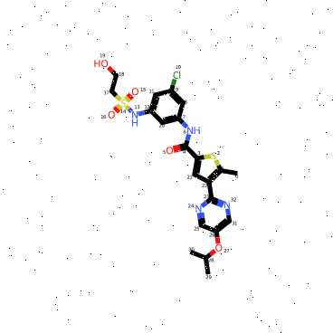 Cc1sc(C(=O)Nc2cc(Cl)cc(NS(=O)(=O)CCO)c2)cc1-c1ncc(OC(C)C)cn1